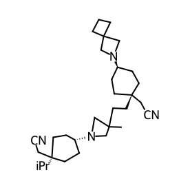 CC(C)[C@]1(CC#N)CC[C@H](N2CC(C)(CC[C@]3(CC#N)CC[C@H](N4CC5(CCC5)C4)CC3)C2)CC1